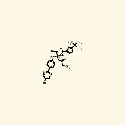 CCC(=O)C[C@@](NC(=O)c1ccc(C(C)(C)C)s1)(Nc1ccc(-c2ncc(Br)cn2)cc1)C(=O)O